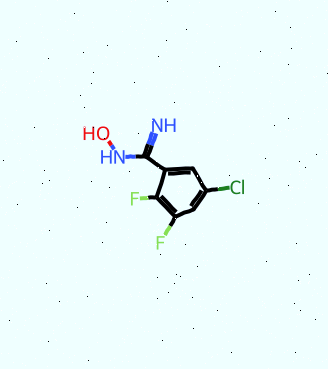 N=C(NO)c1cc(Cl)cc(F)c1F